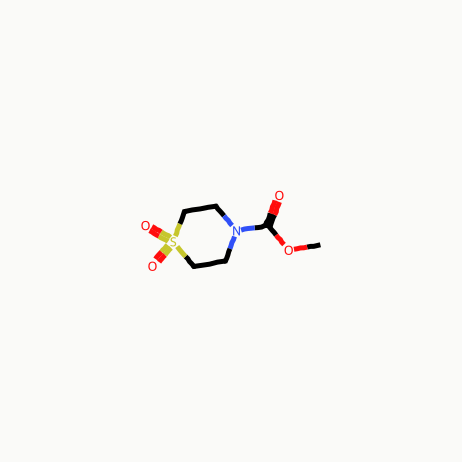 COC(=O)N1CCS(=O)(=O)CC1